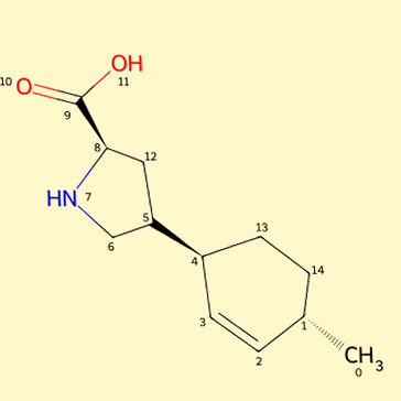 C[C@@H]1C=C[C@@H](C2CN[C@@H](C(=O)O)C2)CC1